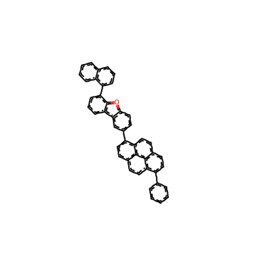 c1ccc(-c2ccc3ccc4c(-c5ccc6oc7c(-c8cccc9ccccc89)cccc7c6c5)ccc5ccc2c3c54)cc1